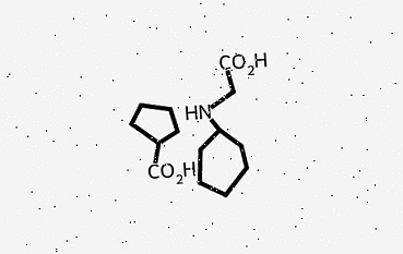 O=C(O)C1CCCC1.O=C(O)CNC1CCCCC1